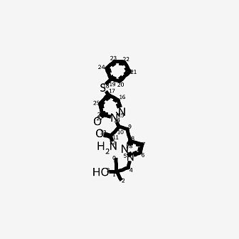 CC(C)(O)Cn1ccc(CC(C(N)=O)n2ncc(Sc3ccccc3)cc2=O)n1